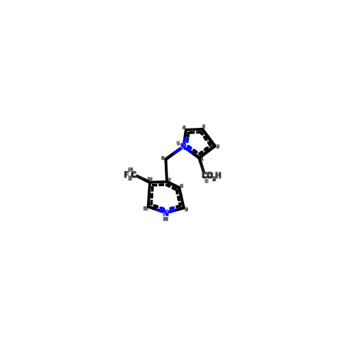 O=C(O)c1cccn1Cc1ccncc1C(F)(F)F